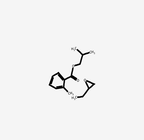 CCC1CO1.Cc1ccccc1C(=O)OCC(C)C